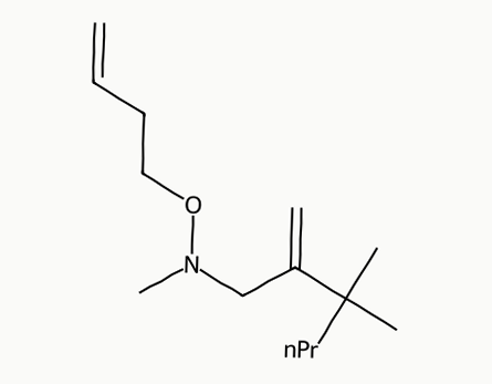 C=CCCON(C)CC(=C)C(C)(C)CCC